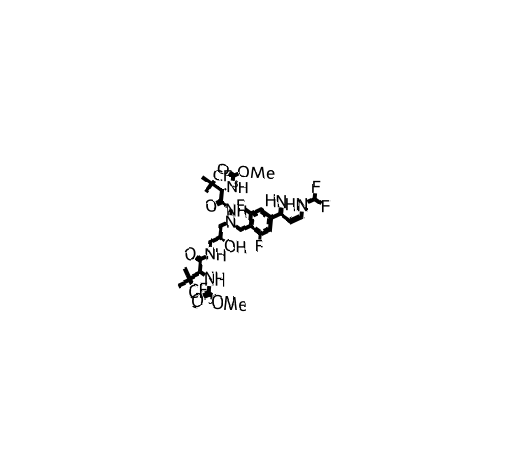 COC(=O)NC(C(=O)NC[C@H](O)CN(Cc1c(F)cc(C(=N)/C=C\NC(F)F)cc1F)NC(=O)[C@@H](NC(=O)OC)C(C)(C)C(F)(F)F)C(C)(C)C(F)(F)F